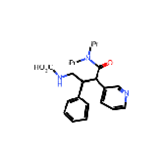 CC(C)N(C(=O)C(c1cccnc1)C(CNC(=O)O)c1ccccc1)C(C)C